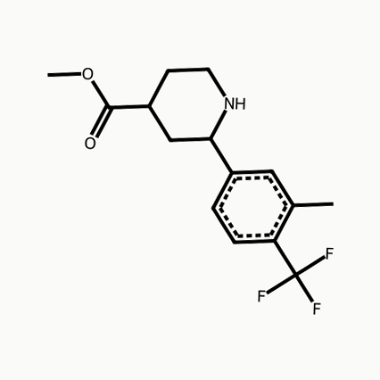 COC(=O)C1CCNC(c2ccc(C(F)(F)F)c(C)c2)C1